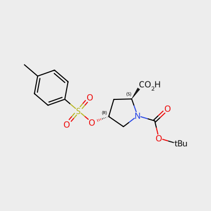 Cc1ccc(S(=O)(=O)O[C@@H]2C[C@@H](C(=O)O)N(C(=O)OC(C)(C)C)C2)cc1